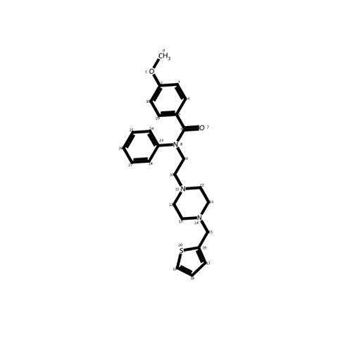 COc1ccc(C(=O)N(CCN2CCN(Cc3cccs3)CC2)c2ccccc2)cc1